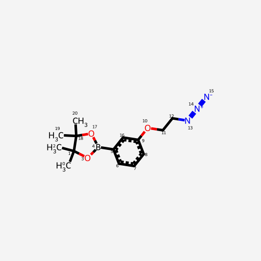 CC1(C)OB(c2cccc(OCCN=[N+]=[N-])c2)OC1(C)C